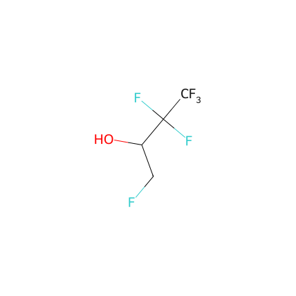 OC(CF)C(F)(F)C(F)(F)F